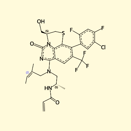 C=CC(=O)N[C@@H](C)CN(C/C(C)=C\C)c1nc(=O)n2c3c(c(-c4cc(Cl)c(F)cc4F)c(C(F)(F)F)cc13)SC[C@@H]2CO